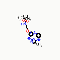 Cc1cnc(Nc2cccc(OCCCNC(=O)OC(C)(C)C)c2)nc1Nc1cccc(N)c1